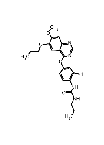 CCCNC(=O)Nc1ccc(Oc2ncnc3cc(OC)c(OCCC)cc23)cc1Cl